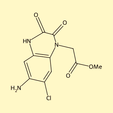 COC(=O)Cn1c(=O)c(=O)[nH]c2cc(N)c(Cl)cc21